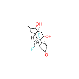 C[C@@H]1C[C@H]2[C@@H]3C[C@H](F)C4=CC(=O)C=C[C@]4(C)[C@@]3(F)[C@@H](O)C[C@]2(C)[C@@H]1O